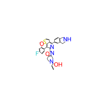 C=CC(O)N1CCc2oc(-c3nc(-c4ccc5c(c4)CCNC5)c4ccsc4c3-c3ccc(F)cc3OC)nc2C1